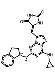 O=C1NC(=O)/C(=C/c2cnn3c(NC4CC4)nc(N[C@@H]4CCc5ccccc54)nc23)N1